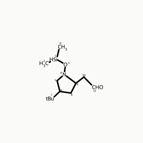 C[SiH](C)ON1CC(C(C)(C)C)CC1CC=O